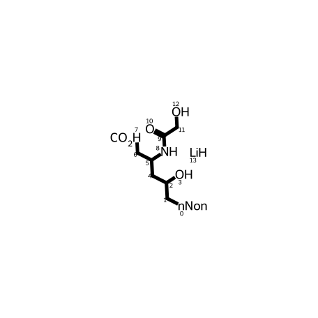 CCCCCCCCCCC(O)CC(CC(=O)O)NC(=O)CO.[LiH]